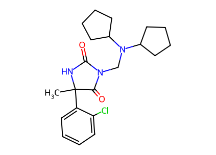 CC1(c2ccccc2Cl)NC(=O)N(CN(C2CCCC2)C2CCCC2)C1=O